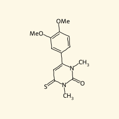 COc1ccc(-c2cc(=S)n(C)c(=O)n2C)cc1OC